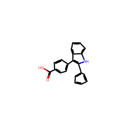 O=C(O)c1ccc(-c2c(-c3ccccc3)[nH]c3ccccc23)cc1